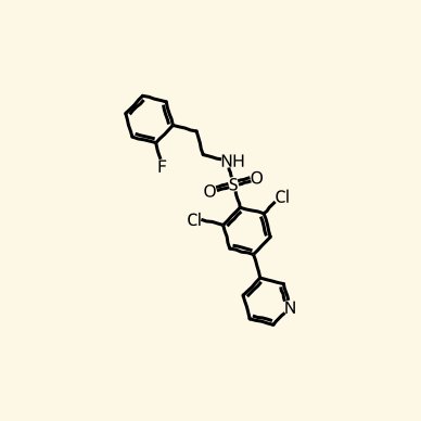 O=S(=O)(NCCc1ccccc1F)c1c(Cl)cc(-c2cccnc2)cc1Cl